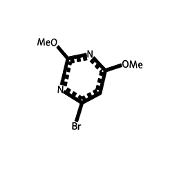 COc1cc(Br)nc(OC)n1